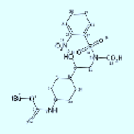 CC(C)(C)OC(=O)NC1CCC(C(O)CN(C(=O)O)S(=O)(=O)c2ccccc2[N+](=O)[O-])CC1